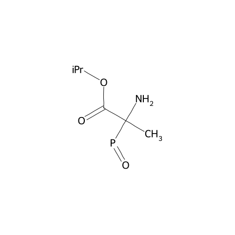 CC(C)OC(=O)C(C)(N)P=O